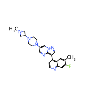 Cc1cc2c(-c3cnn4cc(N5CCN(C6CN(C)C6)CC5)cnc34)ccnc2cc1F